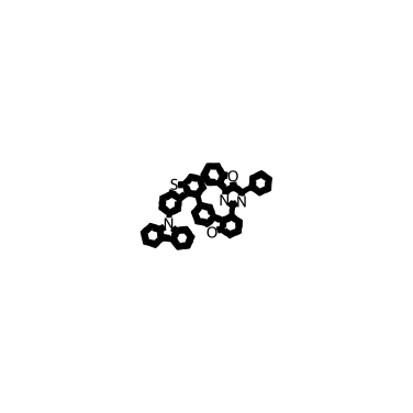 c1ccc(-c2nc(-c3cccc4oc5ccc(-c6cccc7sc8ccc(-n9c%10ccccc%10c%10ccccc%109)cc8c67)cc5c34)nc3c2oc2ccccc23)cc1